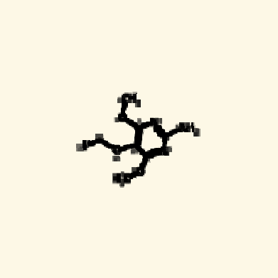 COc1nc(N)nc(OC)c1OCF